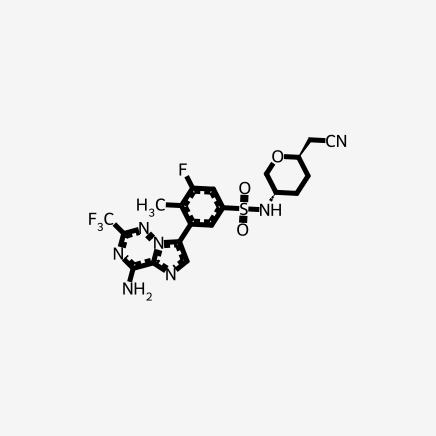 Cc1c(F)cc(S(=O)(=O)N[C@H]2CC[C@H](CC#N)OC2)cc1-c1cnc2c(N)nc(C(F)(F)F)nn12